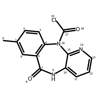 Cc1ccc2c(c1)C(=O)Nc1cccnc1N2C(=O)Cl